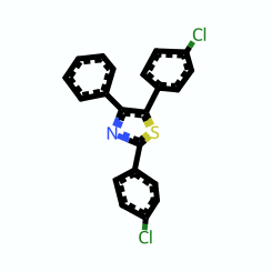 Clc1ccc(-c2nc(-c3ccccc3)c(-c3ccc(Cl)cc3)s2)cc1